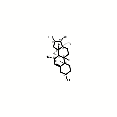 C[C@]12CC[C@H]3[C@@H]([C@@H](O)C=C4C[C@H](O)CC[C@@]43C)[C@@H]1C[C@@H](O)[C@H]2O